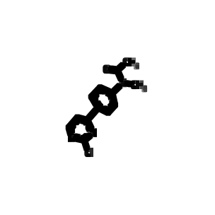 CC(=O)N(C)c1ccc(-c2ccnc(Cl)n2)cc1